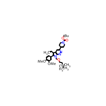 C=Cc1c(-c2ccc(OC)c(OC)c2)n(COCC[Si](C)(C)C)c2nnc(C3=CCN(C(=O)OC(C)(C)C)CC3)cc12